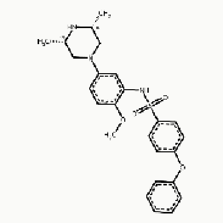 COc1ccc(N2C[C@@H](C)N[C@@H](C)C2)cc1NS(=O)(=O)c1ccc(Oc2ccccc2)cc1